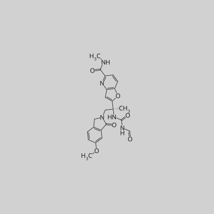 CNC(=O)c1ccc2oc([C@](C)(CN3Cc4ccc(OC)cc4C3=O)NC(=O)NC=O)cc2n1